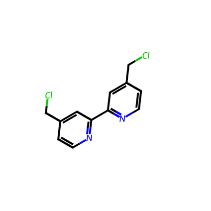 ClCc1ccnc(-c2cc(CCl)ccn2)c1